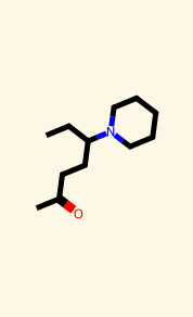 CCC(CCC(C)=O)N1CCCCC1